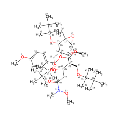 COc1ccc(COC[C@H](C)[C@H]2OC2(C)[C@@H](O[Si](C)(C)C(C)(C)C)[C@@H](CO[Si](C)(C)C(C)(C)C)C(=O)[C@@H](CO[Si](C)(C)C(C)(C)C)[C@@H](O)CC(=O)N(C)OC)cc1